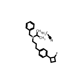 CC#N.CC(C)N(CCCc1ccc(C2CCC2F)cc1)Cc1ccccc1